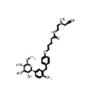 C#CCN(C)CCNC(=O)CCCCOc1ccc(Cc2cc([C@@H]3O[C@H](SC)[C@@H](O)[C@H](O)[C@H]3O)ccc2C)cc1